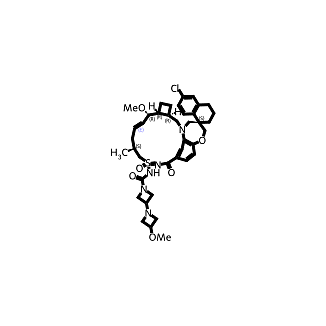 COC1CN(C2CN(C(=O)NS3(=O)=NC(=O)c4ccc5c(c4)N(C[C@@H]4CC[C@H]4[C@@H](OC)/C=C/C[C@H](C)C3)C[C@@]3(CCCc4cc(Cl)ccc43)CO5)C2)C1